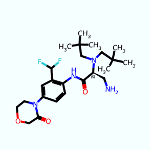 CC(C)(C)CN(CC(C)(C)C)[C@@H](CN)C(=O)Nc1ccc(N2CCOCC2=O)cc1C(F)F